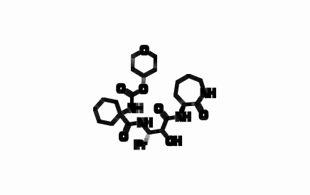 CC(C)[C@H](NC(=O)C1(NC(=O)OC2CCOCC2)CCCCC1)C(O)C(=O)N[C@H]1CCCCNC1=O